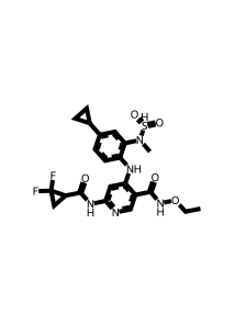 CCONC(=O)c1cnc(NC(=O)C2CC2(F)F)cc1Nc1ccc(C2CC2)cc1N(C)[SH](=O)=O